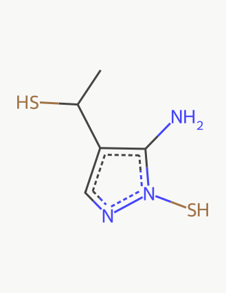 CC(S)c1cnn(S)c1N